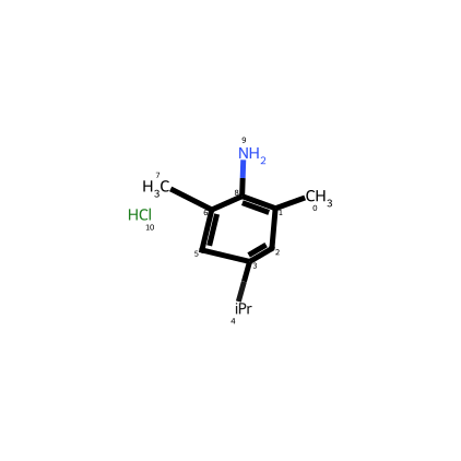 Cc1cc(C(C)C)cc(C)c1N.Cl